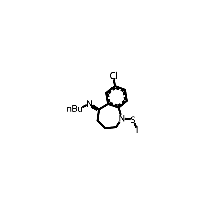 CCCC/N=C1\CCCN(SI)c2ccc(Cl)cc21